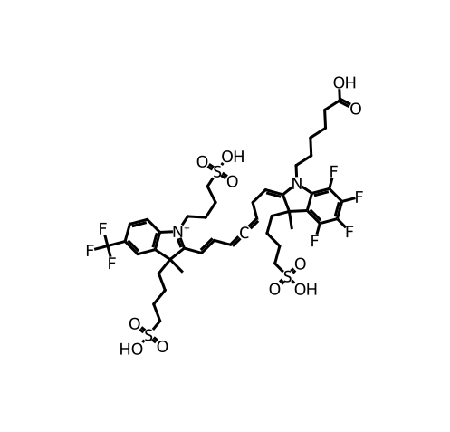 CC1(CCCCS(=O)(=O)O)C(C=CC=C=CC/C=C2/N(CCCCCC(=O)O)c3c(F)c(F)c(F)c(F)c3C2(C)CCCCS(=O)(=O)O)=[N+](CCCCS(=O)(=O)O)c2ccc(C(F)(F)F)cc21